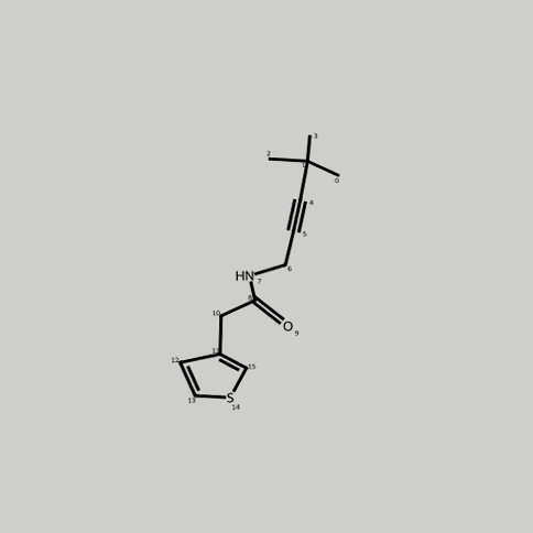 CC(C)(C)C#CCNC(=O)Cc1ccsc1